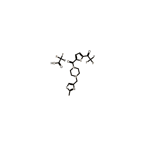 Cc1nc(CN2CCN(C(=O)c3ccc(C(=O)C(F)(F)F)s3)CC2)cs1.O=C(O)C(F)(F)F